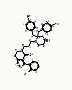 O=C1c2c(-c3ccccc3F)noc2CCC1CCCN1CCNCC1(Cc1ccc(F)cc1)Cc1ccc(F)cc1